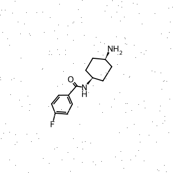 N[C@H]1CC[C@@H](NC(=O)c2ccc(F)cc2)CC1